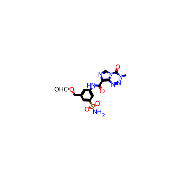 Cn1nnc2c(C(=O)Nc3cc(COC=O)cc(S(N)(=O)=O)c3)ncn2c1=O